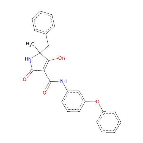 CC1(Cc2ccccc2)NC(=O)C(C(=O)Nc2cccc(Oc3ccccc3)c2)=C1O